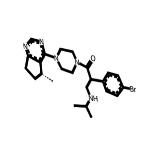 CC(C)NCC(C(=O)N1CCN(c2ncnc3c2[C@H](C)CC3)CC1)c1ccc(Br)cc1